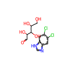 Clc1cc2nc[nH]c2cc1Cl.O=CC(O)C(O)C(O)CO